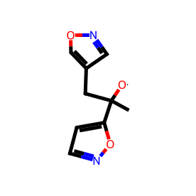 CC([O])(Cc1cnoc1)c1ccno1